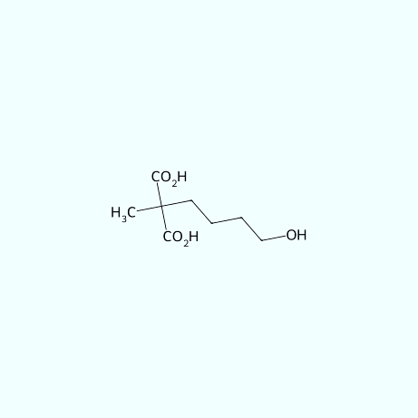 CC(CCCCO)(C(=O)O)C(=O)O